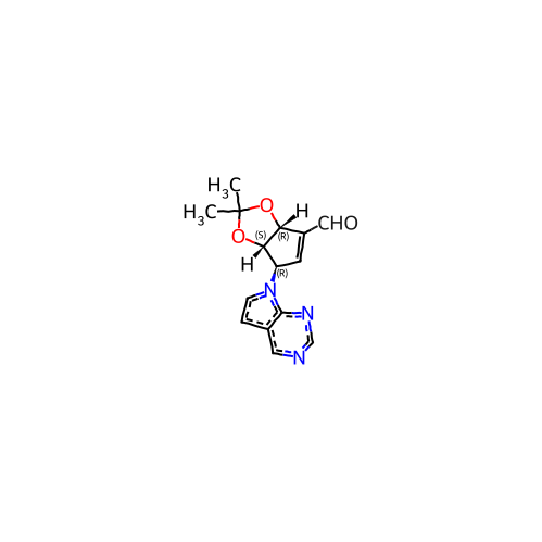 CC1(C)O[C@@H]2[C@H](O1)C(C=O)=C[C@H]2n1ccc2cncnc21